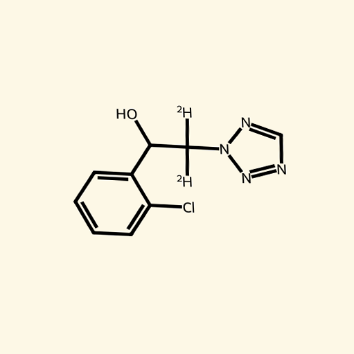 [2H]C([2H])(C(O)c1ccccc1Cl)n1ncnn1